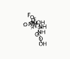 CC(C)(C)C(c1nc(-c2cc(F)ccc2F)cn1Cc1ccccc1)N(CC1CNCC1CNC(=O)CCOCCO)C(=O)CO